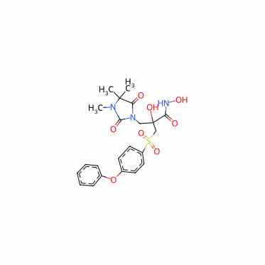 CN1C(=O)N(CC(O)(CS(=O)(=O)c2ccc(Oc3ccccc3)cc2)C(=O)NO)C(=O)C1(C)C